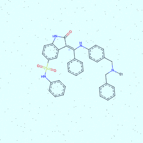 CCN(Cc1ccccc1)Cc1ccc(N/C(=C2\C(=O)Nc3ccc(S(=O)(=O)Nc4ccccc4)cc32)c2ccccc2)cc1